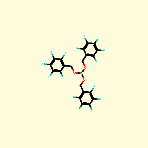 Fc1c(F)c(F)c(COB(OCc2c(F)c(F)c(F)c(F)c2F)OCc2c(F)c(F)c(F)c(F)c2F)c(F)c1F